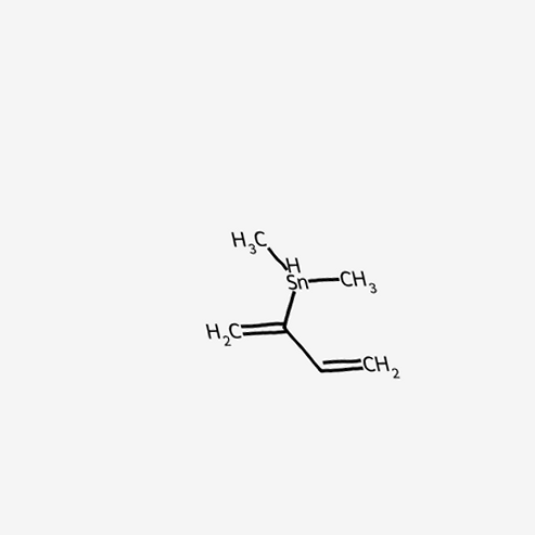 C=C[C](=C)[SnH]([CH3])[CH3]